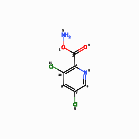 NOC(=O)c1ncc(Cl)cc1Cl